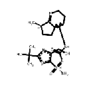 C[C@@H]1CCC23C=C(NC(=O)N=[S@@](N)(=O)c4sc(C(C)(C)O)nc4CO)CC2CCN=C13